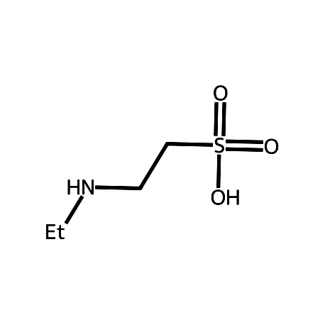 [CH2]CNCCS(=O)(=O)O